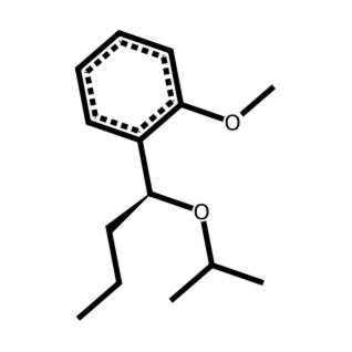 CCC[C@H](OC(C)C)c1ccccc1OC